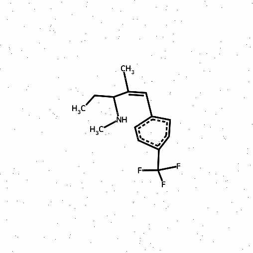 CCC(NC)/C(C)=C\c1ccc(C(F)(F)F)cc1